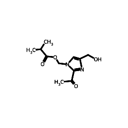 CC(=O)c1nc(CO)cn1COC(=O)C(C)C